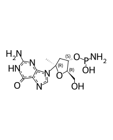 C[C@]1(n2cnc3c(=O)[nH]c(N)nc32)C[C@H](OP(N)O)[C@@H](CO)O1